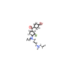 C=CCN(C)CC=CCN(C(C)=O)c1ccc(C(=O)c2ccc(Br)cc2)cc1F